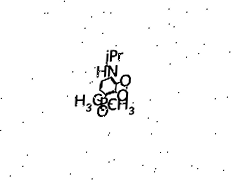 CC(C)CNc1ccc(P(C)(C)=O)c2c1OCO2